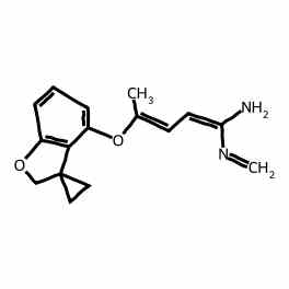 C=N/C(N)=C\C=C(/C)Oc1cccc2c1C1(CC1)CO2